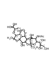 CC(=O)NC1C([C@H](O)[C@H](O)CO)O[C@@](OC2C(O)C(CO)OC(O[C@@H](C)C(CO)OC(F)C(O)O)C2O)(C(=O)O)C[C@H]1O